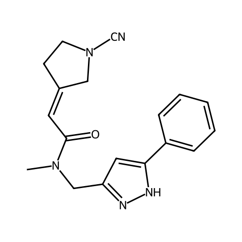 CN(Cc1cc(-c2ccccc2)[nH]n1)C(=O)/C=C1/CCN(C#N)C1